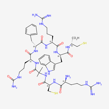 CC(C)(NC(=O)[C@H](CS)NC(=O)[C@@H](N)CCCNC(=N)N)C(=O)N[C@@H](CCCNC(N)=O)C(=O)N[C@H](Cc1ccccc1)C(=O)N[C@@H](CCCNC(=N)N)C(=O)N[C@H](Cc1c[nH]c2ccccc12)C(=O)N[C@@H](CS)C(=O)O